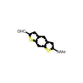 CNc1cc2cc3cc(C=O)sc3cc2s1